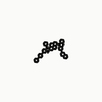 Fc1cc(-c2ccc(-c3ccccc3)cc2)ccc1N(c1ccccc1)c1ccc2ccc3c(N(c4ccccc4)c4ccc(-c5ccc6ccccc6c5)cc4F)ccc4ccc1c2c43